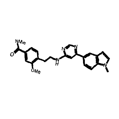 CNC(=O)c1ccc(CCNc2cc(-c3ccc4c(ccn4C)c3)ncn2)c(OC)c1